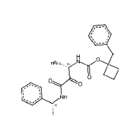 CCCC[C@H](NC(=O)OC1(Cc2ccccc2)CCC1)C(=O)C(=O)N[C@H](C)c1ccccc1